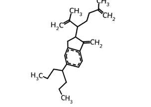 C=C(C)CCC(C(=C)C)C1Cc2cc(C(CCC)CCC)ccc2C1=C